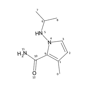 Cc1ccn(NC(C)C)c1C(N)=O